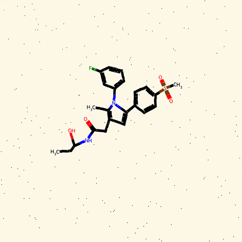 CCC(O)NC(=O)Cc1cc(-c2ccc(S(C)(=O)=O)cc2)n(-c2cccc(F)c2)c1C